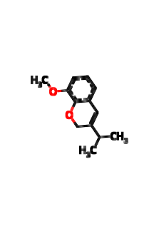 COc1cccc2c1OCC(C(C)C)=C2